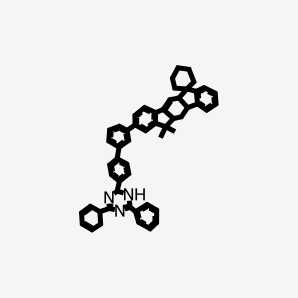 CC1(C)c2cc(-c3cccc(-c4ccc(C5N=C(C6C=CC=CC6)N=C(c6ccccc6)N5)cc4)c3)ccc2C2=CC3C(CC21)c1ccccc1C31CCCCC1